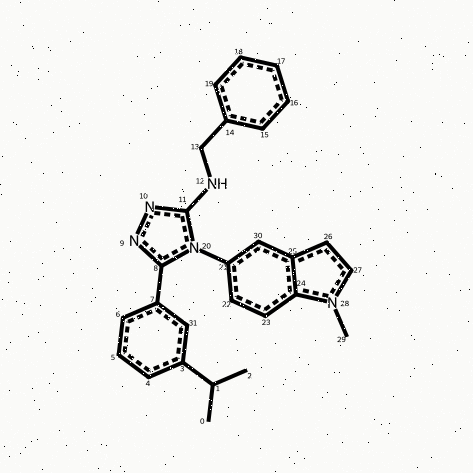 CC(C)c1cccc(-c2nnc(NCc3ccccc3)n2-c2ccc3c(ccn3C)c2)c1